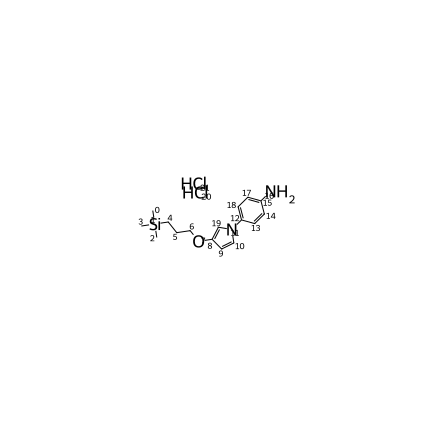 C[Si](C)(C)CCCOc1ccn(-c2ccc(N)cc2)c1.Cl.Cl